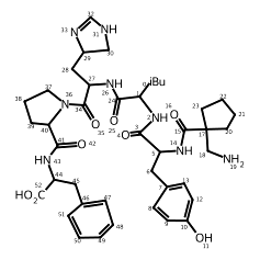 CCC(C)C(NC(=O)C(Cc1ccc(O)cc1)NC(=O)C1(CN)CCCC1)C(=O)NC(CC1CNC=N1)C(=O)N1CCCC1C(=O)NC(Cc1ccccc1)C(=O)O